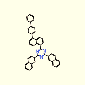 c1ccc(-c2ccc(-c3cccc4c(-c5nc(-c6ccc7ccccc7c6)nc(-c6ccc7ccccc7c6)n5)cccc34)cc2)cc1